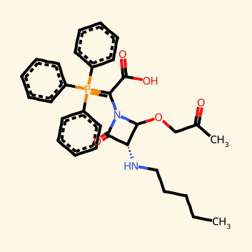 CCCCCN[C@@H]1C(=O)N(C(C(=O)O)=P(c2ccccc2)(c2ccccc2)c2ccccc2)C1OCC(C)=O